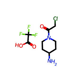 NC1CCN(C(=O)CCl)CC1.O=C(O)C(F)(F)F